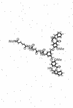 CNC(=O)CCCCC(=O)NCC(=O)NCC(=O)NCC(=O)Nc1cc(COc2cc3c(cc2OC)C(=O)N2c4ccccc4C[C@H]2C=N3)cc(COc2cc3c(cc2OC)C(=O)N2c4ccccc4C[C@H]2CN3)c1